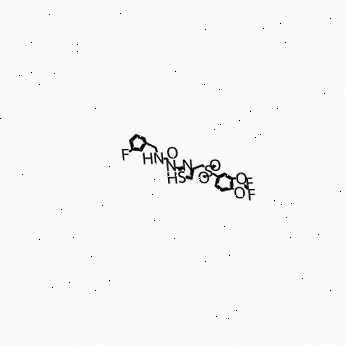 O=C(NCc1cccc(F)c1)Nc1nc(CS(=O)(=O)c2ccc3c(c2)OC(F)(F)O3)cs1